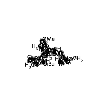 C=CCOc1cccc2c1nc(OCc1cccc(NC(=O)OC(C)(C)Cc3cc(COc4nc5c(OC)cccc5n4-c4nnnn4C)nc(NC(=O)OC(C)(C)Cc4cc(COc5nc6c(Cl)cccc6n5-c5nnnn5C)nc(NC(=O)OCC(C)C)c4)c3)n1)n2-c1nnnn1C